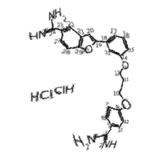 Cl.Cl.N=C(N)c1ccc(OCCCOc2cccc(-c3cc4cc(C(=N)N)ccc4o3)c2)cc1